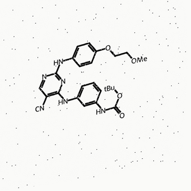 [C-]#[N+]c1cnc(Nc2ccc(OCCOC)cc2)nc1Nc1cccc(NC(=O)OC(C)(C)C)c1